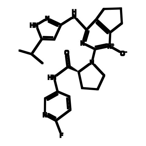 CC(C)c1cc(Nc2nc(N3CCC[C@@H]3C(=O)Nc3ccc(F)nc3)[n+]([O-])c3c2CCC3)n[nH]1